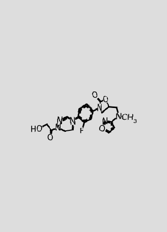 CN(CC1CN(c2ccc(N3C=NN(C(=O)CO)CC3)c(F)c2)C(=O)O1)c1ccon1